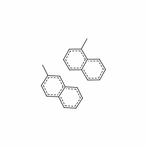 Cc1ccc2ccccc2c1.Cc1cccc2ccccc12